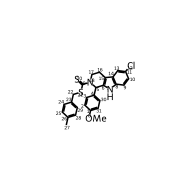 COc1ccc(C2c3[nH]c4ccc(Cl)cc4c3CCN2C(=S)SCc2ccc(C)cc2)cc1